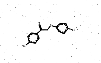 N#Cc1ccc(C(=O)CSc2ccc(Cl)cc2)cc1